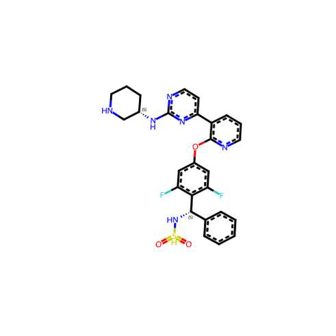 O=[SH](=O)N[C@@H](c1ccccc1)c1c(F)cc(Oc2ncccc2-c2ccnc(N[C@H]3CCCNC3)n2)cc1F